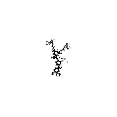 CCN(CC)CCCOc1cc(OCCCN(CC)CC)c2nc(-c3ccc(Oc4ccc(F)c(C(F)(F)F)c4)cc3C(F)(F)F)[nH]c2c1